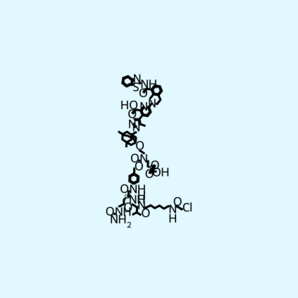 Cc1c(-c2ccc(N3CCc4cccc(C(=O)Nc5nc6ccccc6s5)c4C3)nc2C(=O)O)cnn1CC12CC3(C)CC(C)(C1)CC(OCCN(CCS(=O)(=O)O)C(=O)OCc1ccc(NC(=O)[C@H](CCCNC(N)=O)NC(=O)C(NC(=O)CCCCCNC(=O)CCl)C(C)C)cc1)(C3)C2